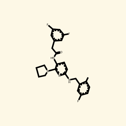 Cc1ccc(F)cc1CNc1ccc(NC(=O)Cc2cc(F)cc(F)c2)c(N2CCCC2)n1